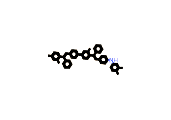 Cc1ccc(C(=Cc2ccc(-c3ccc(C(=Cc4ccc(Nc5ccc(C)c(C)c5)cc4)c4ccccc4)c(C)c3)cc2)c2ccccc2)c(C)c1